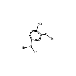 CCOc1cc(N(CC)CC)ccc1N=O